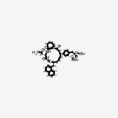 CC(C)(C)OP(=O)(Cc1ccc([C@H]2C=CC[C@@H](Cc3cccc4ccccc34)CNC(=O)[C@H](CC(N)=O)NC(=O)C3(CCCCC3)NC(=O)C2)cc1)OC(C)(C)C